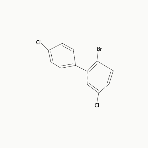 Clc1ccc(-c2cc(Cl)ccc2Br)cc1